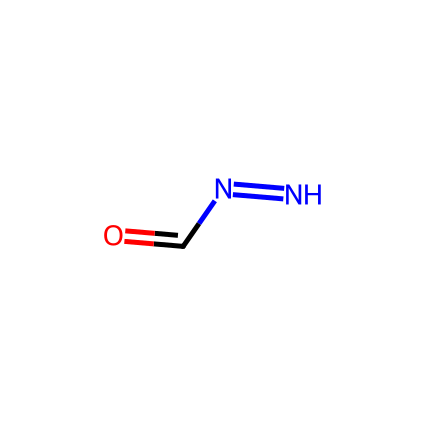 N=NC=O